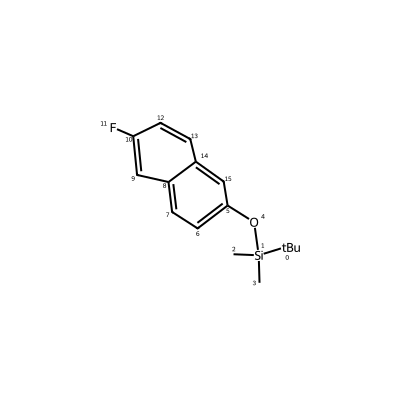 CC(C)(C)[Si](C)(C)Oc1ccc2cc(F)ccc2c1